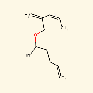 C=CCCC(OCC(=C)/C=C\C)C(C)C